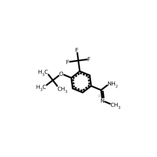 C/N=C(\N)c1ccc(OC(C)(C)C)c(C(F)(F)F)c1